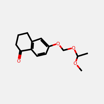 COC(C)OCOc1ccc2c(c1)CCCC2=O